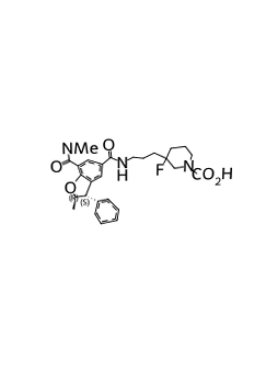 CNC(=O)c1cc(C(=O)NCCCC2(F)CCCN(C(=O)O)C2)cc2c1O[C@H](C)[C@H]2c1ccccc1